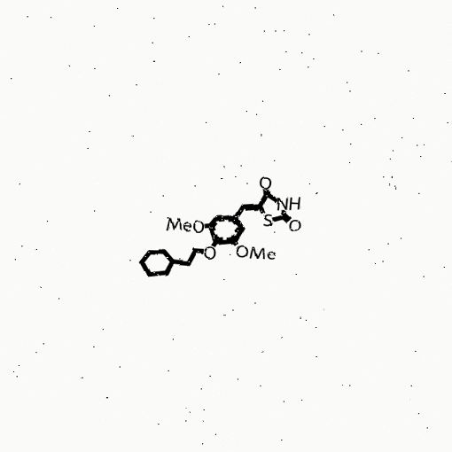 COc1cc(/C=C2\SC(=O)NC2=O)cc(OC)c1OCCC1CCCCC1